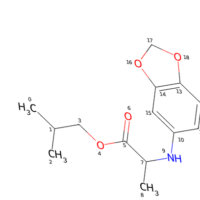 CC(C)COC(=O)C(C)Nc1ccc2c(c1)OCO2